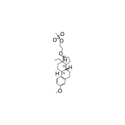 CCC12CC[C@@H]3c4ccc(OC)cc4CC[C@H]3[C@@H]1CC[C@@H]2OCCOS(C)(=O)=O